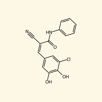 N#CC(=Cc1cc(O)c(O)c(Cl)c1)C(=O)Nc1ccccc1